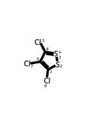 Clc1s[s+]c(Cl)c1Cl